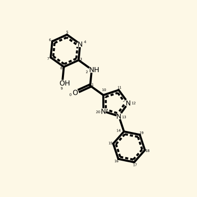 O=C(Nc1ncccc1O)c1cnn(-c2ccccc2)n1